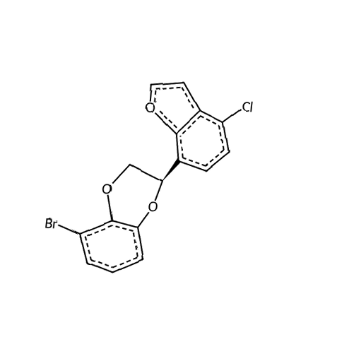 Clc1ccc([C@@H]2COc3c(Br)cccc3O2)c2occc12